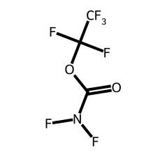 O=C(OC(F)(F)C(F)(F)F)N(F)F